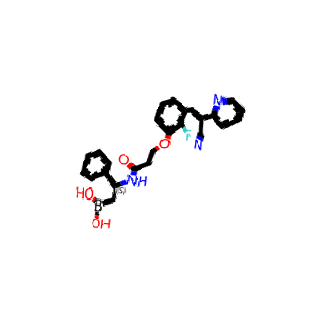 N#CC(=Cc1cccc(OCCC(=O)N[C@@H](CB(O)O)c2ccccc2)c1F)c1ccccn1